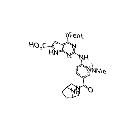 CCCCCc1nc(Nc2ccc(C(=O)N3CC4CCC(C3)N4)cn2)nc2[nH]c(C(=O)O)cc12.CNC